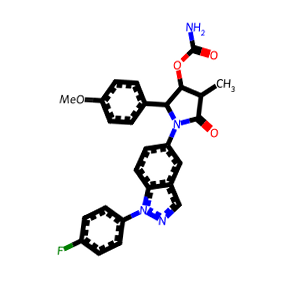 COc1ccc(C2C(OC(N)=O)C(C)C(=O)N2c2ccc3c(cnn3-c3ccc(F)cc3)c2)cc1